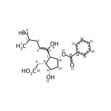 CCCCC(C)CC=C(O)[C@@H]1[C@@H](CC(=O)O)[C@@H](O)C[C@H]1OC(=O)c1ccccc1